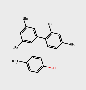 CC(C)(C)c1cc(-c2ccc(C(C)(C)C)cc2C(C)(C)C)cc(C(C)(C)C)c1.O=C(O)c1ccc(O)cc1